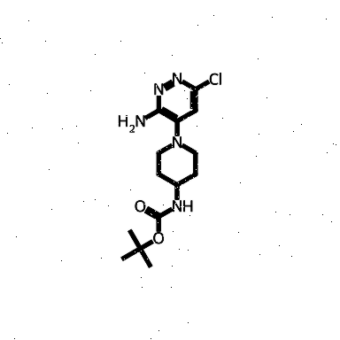 CC(C)(C)OC(=O)NC1CCN(c2cc(Cl)nnc2N)CC1